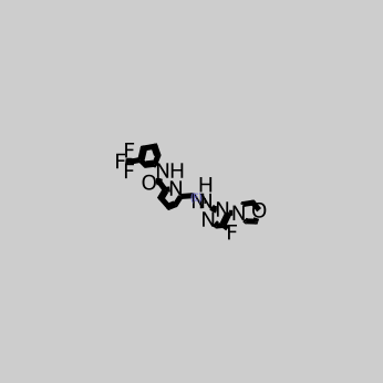 O=C(Nc1cccc(C(F)(F)F)c1)c1cccc(/C=N/Nc2ncc(F)c(N3CCOCC3)n2)n1